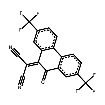 N#CC(C#N)=C1C(=O)c2cc(C(F)(F)F)ccc2-c2ccc(C(F)(F)F)cc21